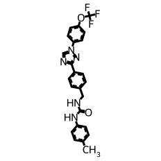 Cc1ccc(NC(=O)NCc2ccc(-c3ncn(-c4ccc(OC(F)(F)F)cc4)n3)cc2)cc1